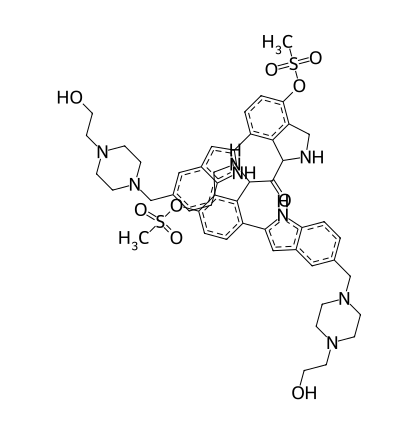 CS(=O)(=O)Oc1ccc(-c2cc3cc(CN4CCN(CCO)CC4)ccc3[nH]2)c2c1CNC2C(=O)C1NCc2c(OS(C)(=O)=O)ccc(-c3cc4cc(CN5CCN(CCO)CC5)ccc4[nH]3)c21